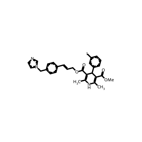 COC(=O)C1=C(C)NC(C)=C(C(=O)OCC=Cc2ccc(Cn3ccnc3)cc2)C1c1cccc(I)c1